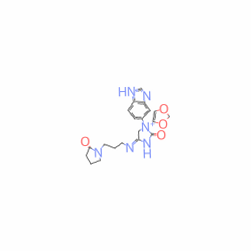 O=C1CCCN1CCCN=C1C[N+](C2=COCO2)(c2ccc3[nH]cnc3c2)C(=O)N1